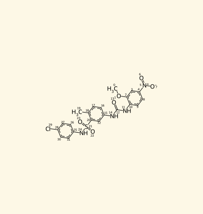 COc1cc([N+](=O)[O-])ccc1NC(=O)Nc1ccc(C)c(S(=O)(=O)Nc2ccc(Cl)cc2)c1